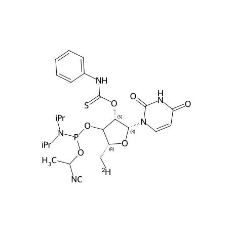 [2H]C[C@H]1O[C@@H](n2ccc(=O)[nH]c2=O)[C@@H](OC(=S)Nc2ccccc2)C1OP(OC(C)[N+]#[C-])N(C(C)C)C(C)C